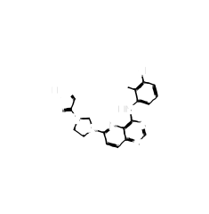 C=CC(=O)N1CCN(c2ccc3ncnc(Nc4cccc(Cl)c4F)c3n2)C1